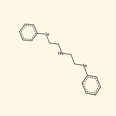 c1ccc([Se]CCNCC[Se]c2ccccc2)cc1